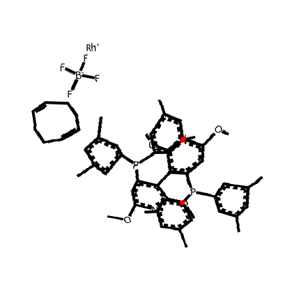 C1=C\CC/C=C\CC/1.COc1cc(P(c2cc(C)cc(C)c2)c2cc(C)cc(C)c2)c(-c2c(P(c3cc(C)cc(C)c3)c3cc(C)cc(C)c3)cc(OC)nc2OC)c(OC)n1.F[B-](F)(F)F.[Rh+]